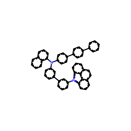 c1ccc(-c2ccc(-c3ccc(N(c4cccc(-c5cccc(-n6c7cccc8ccc9cccc6c9c87)c5)c4)c4cccc5ccccc45)cc3)cc2)cc1